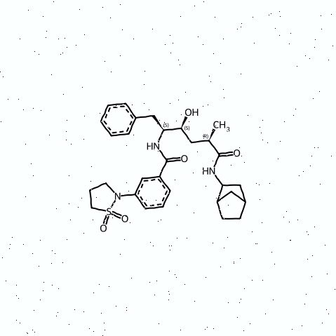 C[C@H](C[C@H](O)[C@H](Cc1ccccc1)NC(=O)c1cccc(N2CCCS2(=O)=O)c1)C(=O)NC1CC2CCC1C2